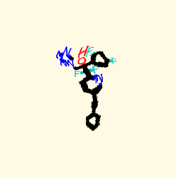 OC(Cn1cnnn1)(c1ccc(F)cc1F)C(F)(F)c1ccc(C#Cc2ccccc2)cn1